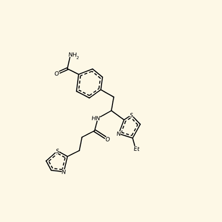 CCc1csc(C(Cc2ccc(C(N)=O)cc2)NC(=O)CCc2nccs2)n1